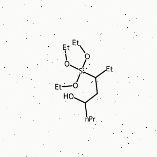 CCCC(O)CC(CC)[Si](OCC)(OCC)OCC